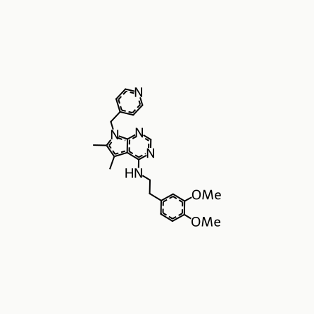 COc1ccc(CCNc2ncnc3c2c(C)c(C)n3Cc2ccncc2)cc1OC